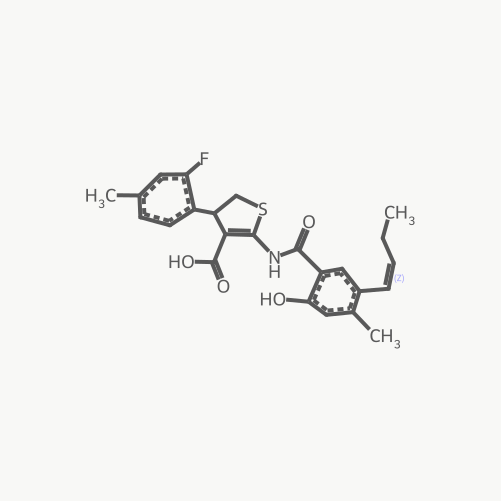 CC/C=C\c1cc(C(=O)NC2=C(C(=O)O)C(c3ccc(C)cc3F)CS2)c(O)cc1C